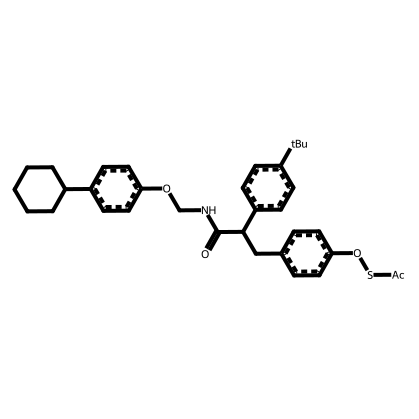 CC(=O)SOc1ccc(CC(C(=O)NCOc2ccc(C3CCCCC3)cc2)c2ccc(C(C)(C)C)cc2)cc1